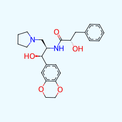 O=C(N[C@H](CN1CCCC1)[C@H](O)c1ccc2c(c1)OCCO2)[C@@H](O)Cc1ccccc1